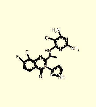 CC(Nc1nc(N)nc(N)c1Cl)c1nc2c(F)c(F)ccc2c(=O)n1-c1cc[nH]n1